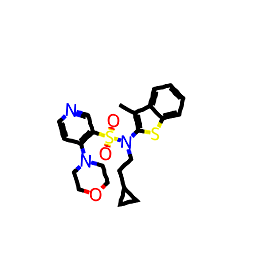 Cc1c(N(CCC2CC2)S(=O)(=O)c2cnccc2N2CCOCC2)sc2ccccc12